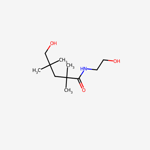 CC(C)(CO)CC(C)(C)C(=O)NCCO